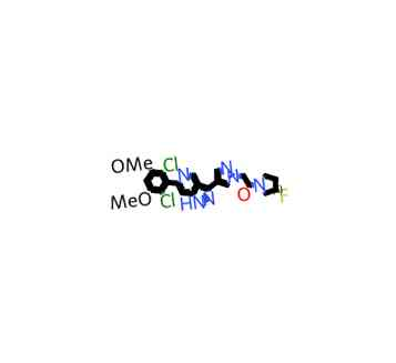 COc1cc(OC)c(Cl)c(-c2cc3[nH]nc(-c4cnn(CC(=O)N5CC[C@H](F)C5)c4)c3cn2)c1Cl